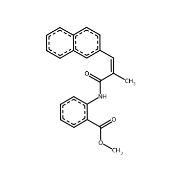 COC(=O)c1ccccc1NC(=O)C(C)=Cc1ccc2ccccc2c1